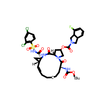 CC(C)(C)OC(=O)N[C@H]1CCCCC/C=C\[C@@H]2C[C@@]2(C(=O)NS(=O)(=O)c2ccc(Cl)cc2Cl)NC(=O)[C@@H]2C[C@@H](OC(=O)N3CC4C=CC=C(F)C4C3)CN2C1=O